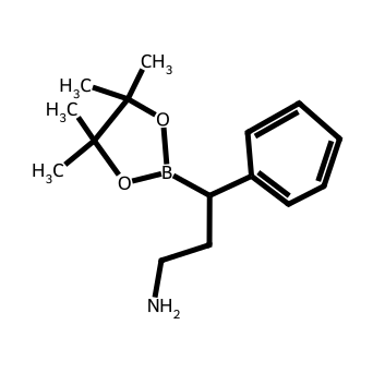 CC1(C)OB(C(CCN)c2ccccc2)OC1(C)C